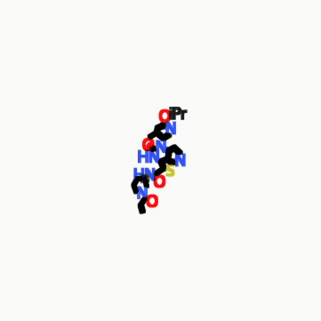 C=CC(=O)N1CCC[C@@H](NC(=O)c2sc3nccc4c3c2NC(=O)N4c2cnc(OC(C)C)cc2C)C1